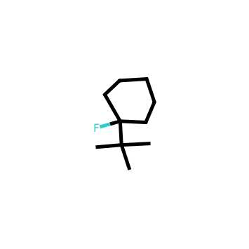 CC(C)(C)C1(F)CCCCC1